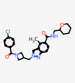 Cc1c(C(=O)NCC2CCCCO2)ccc2nn(CC3CN(C(=O)c4ccc(Cl)cc4)C3)cc12